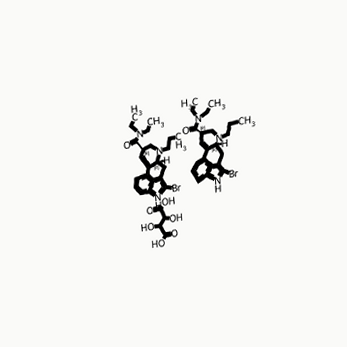 CCCN1C[C@H](C(=O)N(CC)CC)C=C2c3cccc4[nH]c(Br)c(c34)C[C@H]21.CCCN1C[C@H](C(=O)N(CC)CC)C=C2c3cccc4[nH]c(Br)c(c34)C[C@H]21.O=C(O)C(O)C(O)C(=O)O